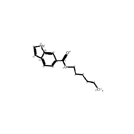 CCCCCCOC(=O)c1ccc2[c]c[nH]c2c1